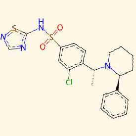 C[C@H](c1ccc(S(=O)(=O)Nc2ncns2)cc1Cl)N1CCCC[C@H]1c1ccccc1